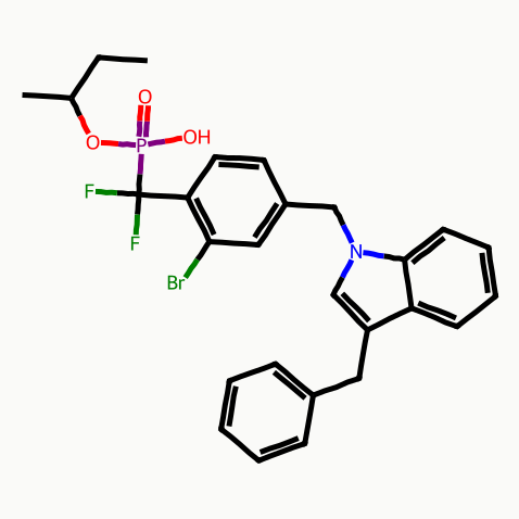 CCC(C)OP(=O)(O)C(F)(F)c1ccc(Cn2cc(Cc3ccccc3)c3ccccc32)cc1Br